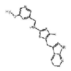 COc1cncc(CNc2nc(I)c(Cc3c[nH]c4c3=CCCN=4)s2)c1